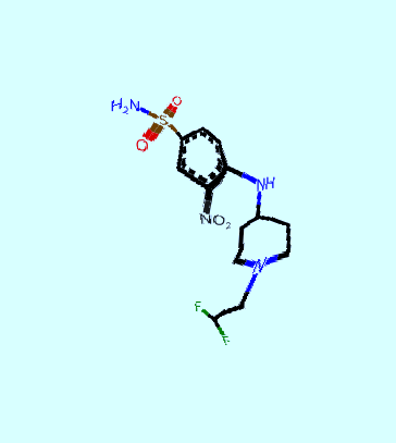 NS(=O)(=O)c1ccc(NC2CCN(CC(F)F)CC2)c([N+](=O)[O-])c1